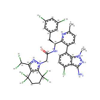 Cc1ccc(-c2ccc(Cl)c3c(N)nn(C)c23)c([C@H](Cc2cc(F)cc(F)c2)NC(=O)Cn2nc(C(F)F)c3c2C(F)(F)CCC3(F)F)n1